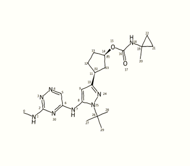 CNc1nncc(Nc2cc([C@H]3CC[C@@H](OC(=O)NC4(C)CC4)C3)nn2C(C)(C)C)n1